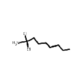 CCCCCCCC([SiH3])(Cl)Cl